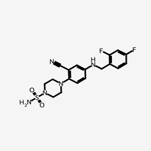 N#Cc1cc(NCc2ccc(F)cc2F)ccc1N1CCN(S(N)(=O)=O)CC1